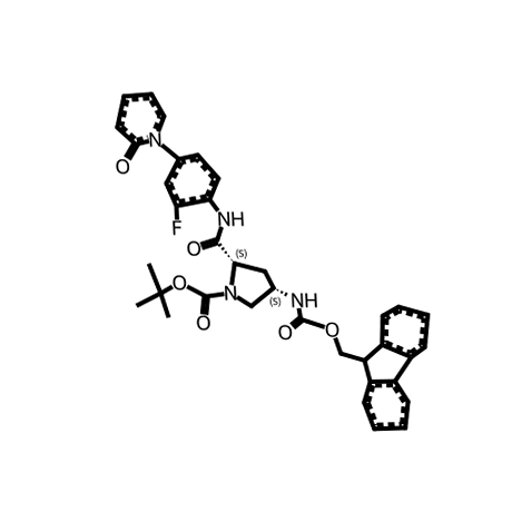 CC(C)(C)OC(=O)N1C[C@@H](NC(=O)OCC2c3ccccc3-c3ccccc32)C[C@H]1C(=O)Nc1ccc(-n2ccccc2=O)cc1F